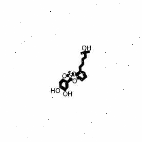 CC(C)(O)CCCCc1cccc(OC(c2ccc(O)c(O)c2)S(C)(=O)=O)c1